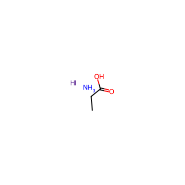 CCC(=O)O.I.N